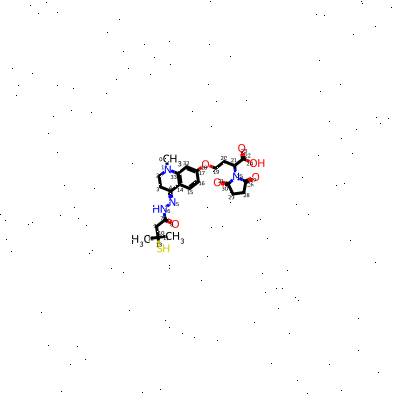 CN1CCC(=NNC(=O)CC(C)(C)S)c2ccc(OCCC(C(=O)O)N3C(=O)CCC3=O)cc21